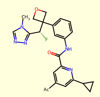 CC(=O)c1cc(C(=O)Nc2cccc(C3([C@H](F)c4nncn4C)COC3)c2)nc(C2CC2)c1